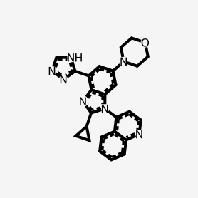 c1ccc2c(-n3c(C4CC4)nc4c(-c5nnc[nH]5)cc(N5CCOCC5)cc43)ccnc2c1